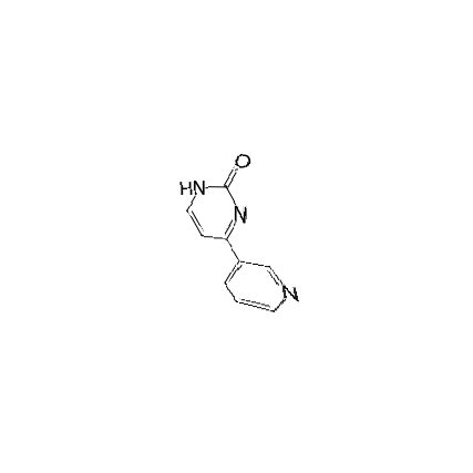 O=c1nc(-c2cccnc2)cc[nH]1